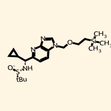 CC(C)(C)[S@@+]([O-])N[C@@H](c1ccc2c(ncn2COCC[Si](C)(C)C)n1)C1CC1